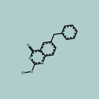 CCOc1nc2ccc(Cc3ccccc3)cc2c(=O)o1